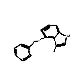 Cc1[c][nH]c2cccc(OCc3ccccc3)c12